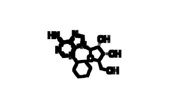 N=c1ncn(C2CCCCC2)c2c1ncn2[C@@H]1O[C@H](CO)[C@@H](O)[C@H]1O